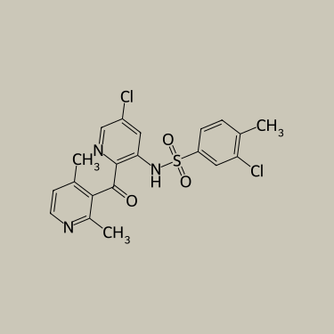 Cc1ccc(S(=O)(=O)Nc2cc(Cl)cnc2C(=O)c2c(C)ccnc2C)cc1Cl